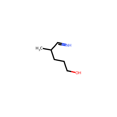 CC(C=N)CCCO